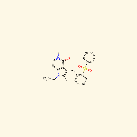 Cc1c(Cc2ccccc2S(=O)(=O)c2ccccc2)c2c(=O)n(C)ccc2n1CC(=O)O